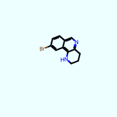 Brc1ccc2cnc3c(c2c1)NCCC3